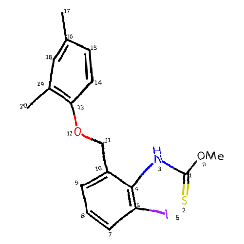 COC(=S)Nc1c(I)cccc1COc1ccc(C)cc1C